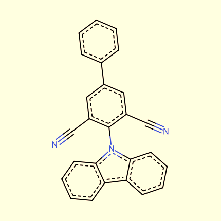 N#Cc1cc(-c2ccccc2)cc(C#N)c1-n1c2ccccc2c2ccccc21